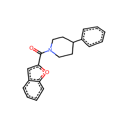 O=C(c1cc2ccccc2o1)N1CCC(c2ccccc2)CC1